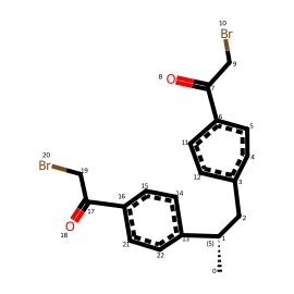 C[C@@H](Cc1ccc(C(=O)CBr)cc1)c1ccc(C(=O)CBr)cc1